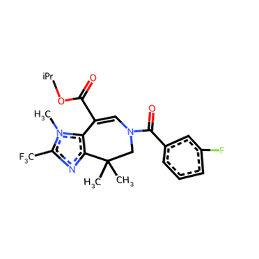 CC(C)OC(=O)C1=CN(C(=O)c2cccc(F)c2)CC(C)(C)c2nc(C(F)(F)F)n(C)c21